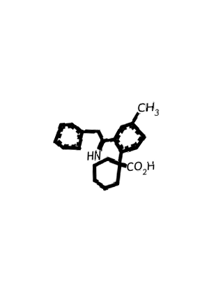 Cc1ccc(C2(C(=O)O)CCCCC2)c(C(=N)Cc2ccccc2)c1